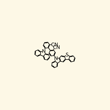 N#Cc1cc(-n2c3ccccc3c3cc4c(cc32)sc2ccccc24)ccc1-c1c(C#N)cccc1-n1c2ccccc2c2ccccc21